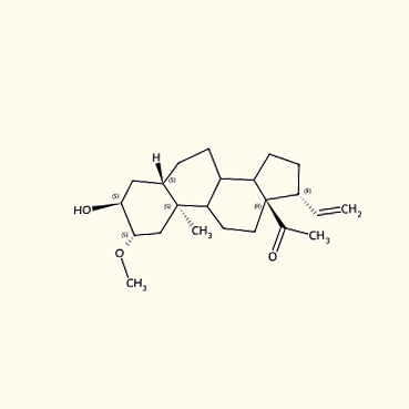 C=C[C@H]1CCC2C3CC[C@H]4C[C@H](O)[C@@H](OC)C[C@]4(C)C3CC[C@]21C(C)=O